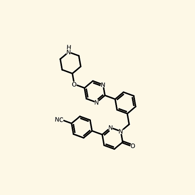 N#Cc1ccc(-c2ccc(=O)n(Cc3cccc(-c4ncc(OC5CCNCC5)cn4)c3)n2)cc1